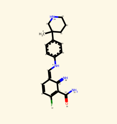 CC1(c2ccc(N/C=C3/C=CC(F)=C(C(N)=O)C3=N)cc2)CCCNC1